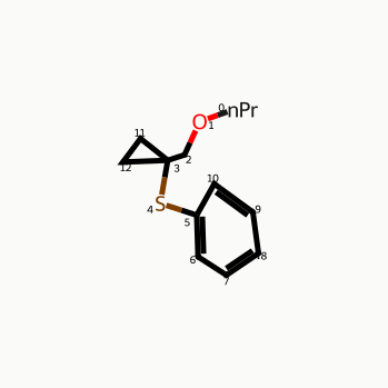 CCCOCC1(Sc2cc[c]cc2)CC1